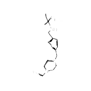 CCCC(C)(C)NCc1ccc(CN2CCN(CC(C)(C)C)CC2)cc1